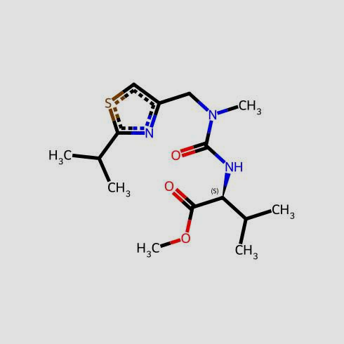 COC(=O)[C@@H](NC(=O)N(C)Cc1csc(C(C)C)n1)C(C)C